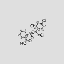 O=C(O)c1ccccc1C(=O)OC(CCl)c1ccc(Cl)cc1Cl